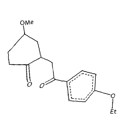 CCOc1ccc(C(=O)CC2CC(OC)CCC2=O)cc1